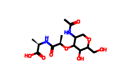 CC(=O)NC1COC(CO)C(O)C1O[C@H](C)C(=O)N[C@@H](C)C(=O)O